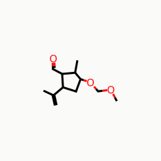 C=C(C)C1CC(OCOC)C(C)C1C=O